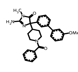 COc1cccc(-c2cccc(C3(C4CCN(C(=O)c5ccccc5)CC4)N=C(N)N(C)C3=O)c2)c1